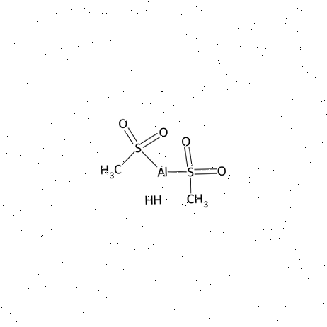 C[S](=O)(=O)[Al][S](C)(=O)=O.[HH]